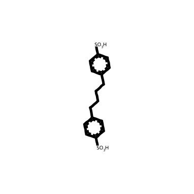 O=S(=O)(O)c1ccc(CCCCc2ccc(S(=O)(=O)O)cc2)cc1